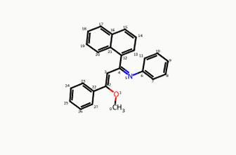 CO/C(=C\C(=N\c1ccccc1)c1cccc2ccccc12)c1ccccc1